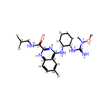 CON(C)C(=N)N[C@@H]1CCCC[C@@H]1Nc1nc(C(=O)NCC(C)C)nc2ccc(C)cc12